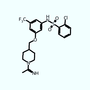 CC(=N)N1CCC(COc2cc(NS(=O)(=O)c3ccccc3Cl)cc(C(F)(F)F)c2)CC1